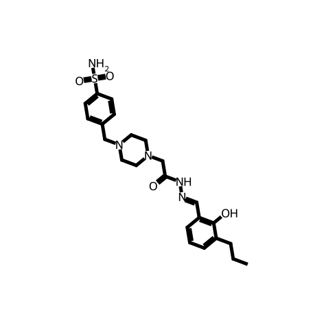 CCCc1cccc(/C=N/NC(=O)CN2CCN(Cc3ccc(S(N)(=O)=O)cc3)CC2)c1O